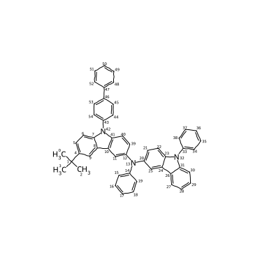 CC(C)(C)c1ccc2c(c1)c1cc(N(c3ccccc3)c3ccc4c(c3)c3ccccc3n4-c3ccccc3)ccc1n2-c1ccc(-c2ccccc2)cc1